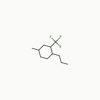 CCC[C]1CCC(C)CC1C(F)(F)F